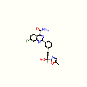 Cc1cnc(C(C)(O)C#Cc2cccc(-c3nc(C(N)=O)c4ccc(F)cc4n3)c2)o1